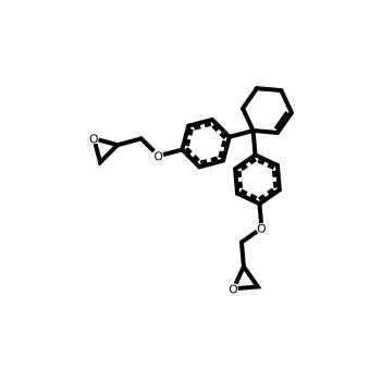 C1=CC(c2ccc(OCC3CO3)cc2)(c2ccc(OCC3CO3)cc2)CCC1